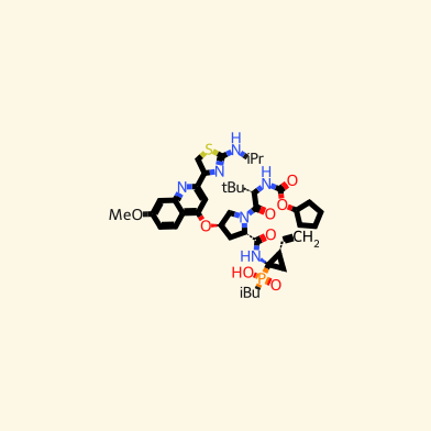 C=C[C@@H]1C[C@]1(NC(=O)[C@@H]1C[C@@H](Oc2cc(C3CSC(NC(C)C)=N3)nc3cc(OC)ccc23)CN1C(=O)[C@@H](NC(=O)OC1CCCC1)C(C)(C)C)P(=O)(O)C(C)CC